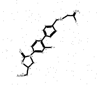 C=C(F)CNCc1ccc(-c2ccc(N3CC(CNC(C)=O)OC3=O)cc2F)cc1